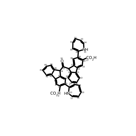 O=C(O)c1cc2c(cc1C1=CC=CC=CN1)C(C(=O)C1c3ccccc3-c3cc(C(=O)O)c(C4=CC=CC=CN4)cc31)c1ccccc1-2